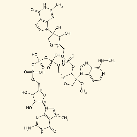 CNc1ncnc2c1ncn2C1(OC)CO[C@H](COP(=O)(O)OP(=O)(O)OP(=O)(O)OC[C@H]2O[C@@H](n3c[n+](C)c4c(=O)[nH]c(N)nc43)C(O)C2O)C1OP(=O)(O)OC[C@H]1OCC(O)(n2cnc3c(=O)[nH]c(N)nc32)C1O